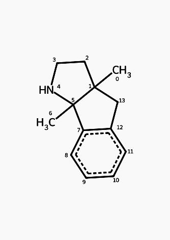 CC12CCNC1(C)c1ccccc1C2